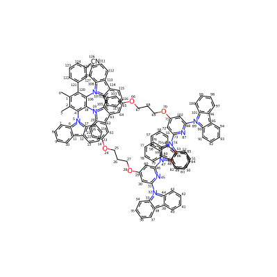 Cc1c(C)c(-n2c3ccccc3c3ccccc32)c(-n2c3ccc(OCCCOc4cc(-n5c6ccccc6c6ccccc65)nc(-n5c6ccccc6c6ccccc65)c4)cc3c3cc(OCCCOc4cc(-n5c6ccccc6c6ccccc65)nc(-n5c6ccccc6c6ccccc65)c4)ccc32)c(-n2c3ccccc3c3ccccc32)c1-c1cccc(C#N)c1